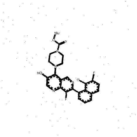 CC(C)(C)OC(=O)N1CCN(c2c(O)cnc3c(F)c(-c4cccc5ccc(F)c(Cl)c45)ncc23)CC1